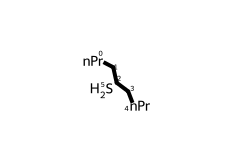 CCCCCCCCC.S